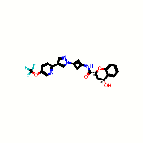 O=C(NC12CC(n3cc(-c4ccc(OC(F)(F)F)cn4)cn3)(C1)C2)[C@H]1C[C@@H](O)c2ccccc2O1